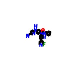 N#Cc1ccc(NC2CCC(N(C(=O)NCc3ccccc3)c3ccc(-c4ccnc(F)c4)cc3)CC2)nc1